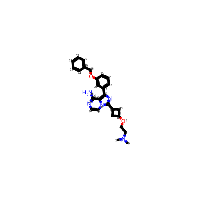 CN(C)CCOC1CC(c2nc(-c3cccc(OCc4ccccc4)c3)c3c(N)nccn23)C1